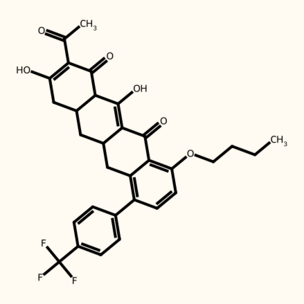 CCCCOc1ccc(-c2ccc(C(F)(F)F)cc2)c2c1C(=O)C1=C(O)C3C(=O)C(C(C)=O)=C(O)CC3CC1C2